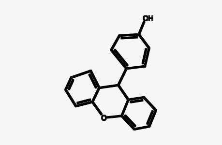 Oc1ccc(C2c3ccccc3Oc3ccccc32)cc1